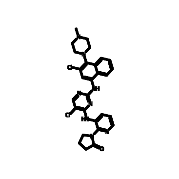 CN1CCN(c2c(Cl)cc(Nc3ncc(Cl)c(Nc4cccnc4N4CCCC4=O)n3)c3ccccc23)CC1